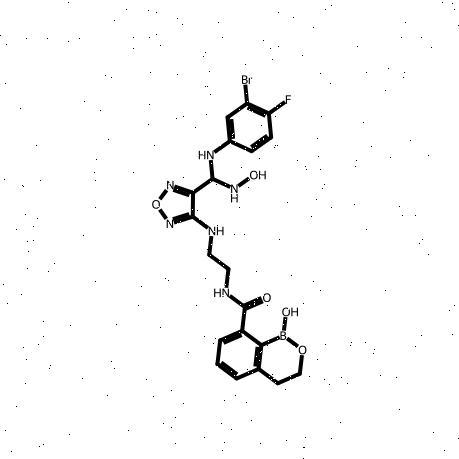 O=C(NCCNc1nonc1C(NO)Nc1ccc(F)c(Br)c1)c1cccc2c1B(O)OCC2